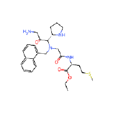 CCOC(=O)[C@H](CCSC)NC(=O)CN(Cc1cccc2ccccc12)C(C(=O)CN)[C@@H]1CCCN1